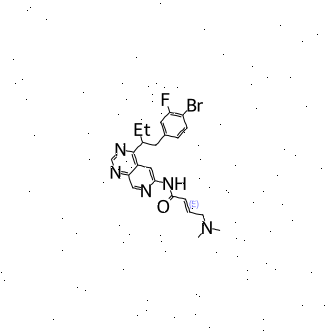 CCC(Cc1ccc(Br)c(F)c1)c1ncnc2cnc(NC(=O)/C=C/CN(C)C)cc12